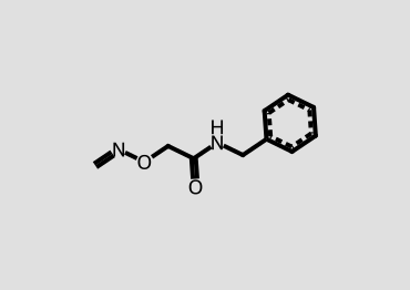 C=NOCC(=O)NCc1ccccc1